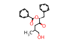 CC(CO)CC(=O)[C@H](Cc1ccccc1)OC(=O)c1ccccc1